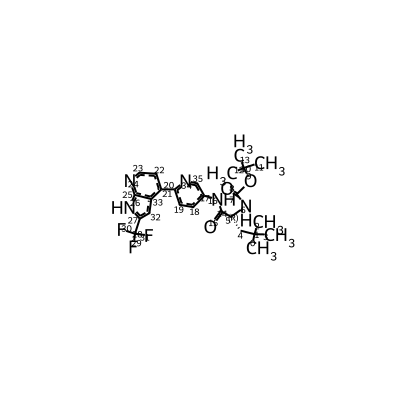 CC(C)(C)C[C@@H](NC(=O)OC(C)(C)C)C(=O)Nc1ccc(-c2ccnc3[nH]c(C(F)(F)F)cc23)nc1